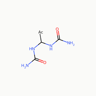 CC(=O)C(NC(N)=O)NC(N)=O